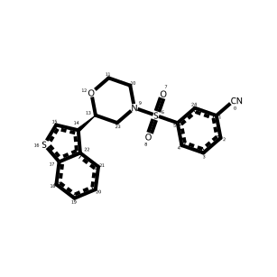 N#Cc1cccc(S(=O)(=O)N2CCO[C@H](c3csc4ccccc34)C2)c1